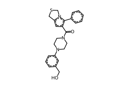 O=C(c1cc2n(c1-c1ccccc1)CSC2)N1CCN(c2cccc(CO)c2)CC1